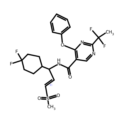 CC(F)(F)c1ncc(C(=O)NC(/C=C/S(C)(=O)=O)C2CCC(F)(F)CC2)c(Oc2ccccc2)n1